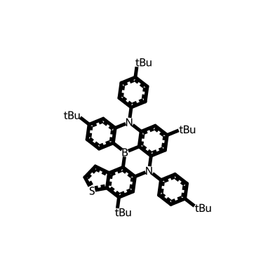 CC(C)(C)c1ccc(N2c3cc(C(C)(C)C)ccc3B3c4c2cc(C(C)(C)C)cc4N(c2ccc(C(C)(C)C)cc2)c2cc(C(C)(C)C)c4sccc4c23)cc1